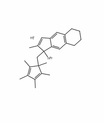 CCCC1(CC2(C)C(C)=C(C)C(C)=C2C)C(C)=Cc2cc3c(cc21)CCCC3.[Hf]